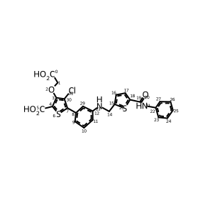 O=C(O)COc1c(C(=O)O)sc(-c2cccc(NCc3ccc(C(=O)Nc4ccccc4)s3)c2)c1Cl